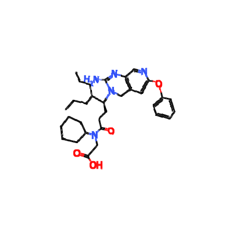 CCCC(CCC)[C@H](CCC(=O)N(CC(=O)O)C1CCCCC1)N1Cc2cc(Oc3ccccc3)ncc2N=C1N